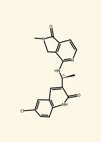 C[C@H](Nc1nccc2c1CN(C)C2=O)c1cc2cc(Cl)ccc2[nH]c1=O